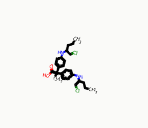 CCCC(CCl)Nc1ccc(C(C)(C(=O)O)c2ccc(NC(CCl)CCC)cc2)cc1